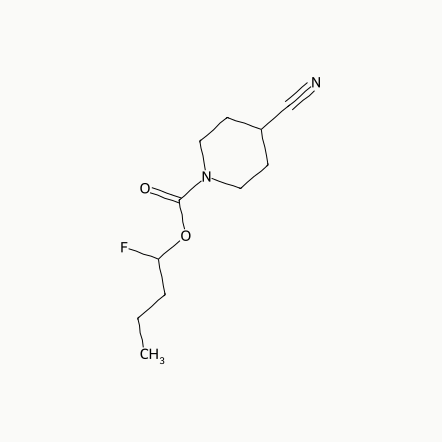 CCCC(F)OC(=O)N1CCC(C#N)CC1